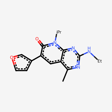 CCNc1nc(C)c2cc(-c3ccoc3)c(=O)n(C(C)C)c2n1